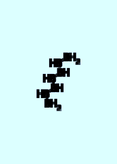 BBBBBBB